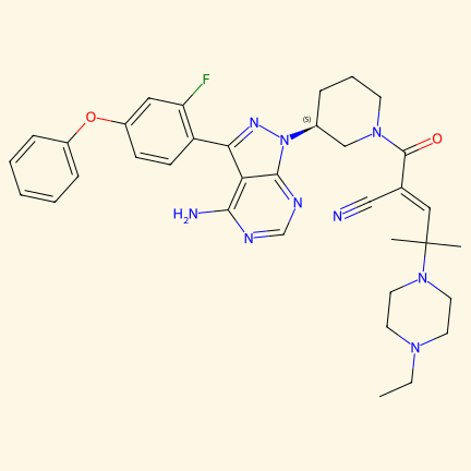 CCN1CCN(C(C)(C)C=C(C#N)C(=O)N2CCC[C@H](n3nc(-c4ccc(Oc5ccccc5)cc4F)c4c(N)ncnc43)C2)CC1